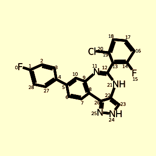 Fc1ccc(-c2ccc3c(c2)N=C(c2c(F)cccc2Cl)Nc2c[nH]nc2-3)cc1